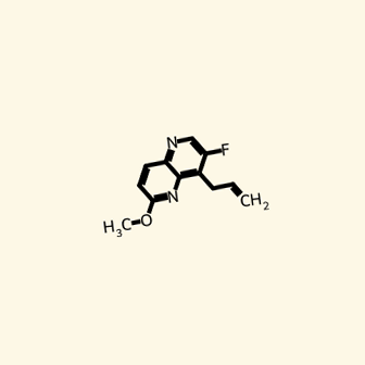 C=CCc1c(F)cnc2ccc(OC)nc12